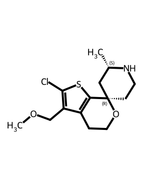 COCc1c(Cl)sc2c1CCO[C@@]21CCN[C@@H](C)C1